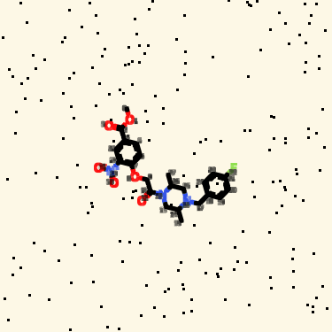 COC(=O)c1ccc(OCC(=O)N2CC(C)N(Cc3ccc(F)cc3)CC2C)c([N+](=O)[O-])c1